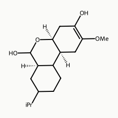 COC1=C(O)C[C@@H]2OC(O)[C@@H]3CC(C(C)C)CCC3[C@@H]2C1